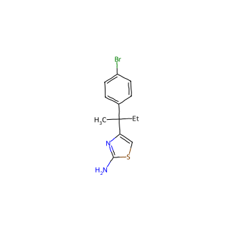 CCC(C)(c1ccc(Br)cc1)c1csc(N)n1